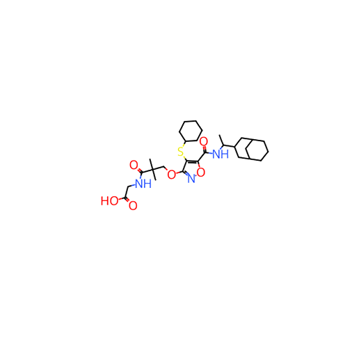 CC(NC(=O)c1onc(OCC(C)(C)C(=O)NCC(=O)O)c1SC1CCCCC1)C1CC2CCCC(C2)C1